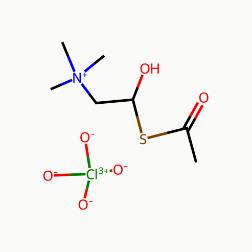 CC(=O)SC(O)C[N+](C)(C)C.[O-][Cl+3]([O-])([O-])[O-]